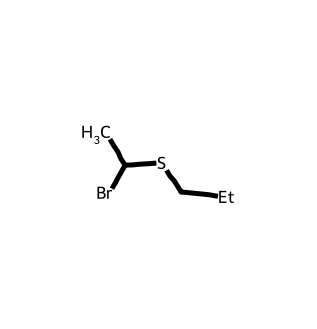 CCCSC(C)Br